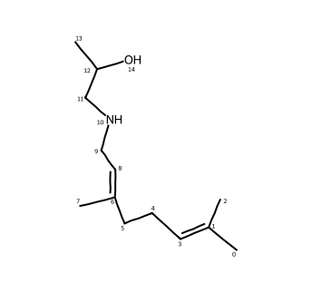 CC(C)=CCCC(C)=CCNCC(C)O